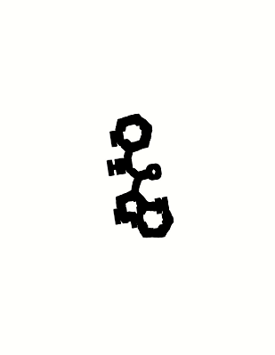 O=C(Nc1ccccn1)c1cnn2cccnc12